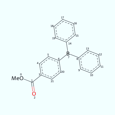 COC(=O)c1ccc(B(c2ccccc2)c2ccccc2)cc1